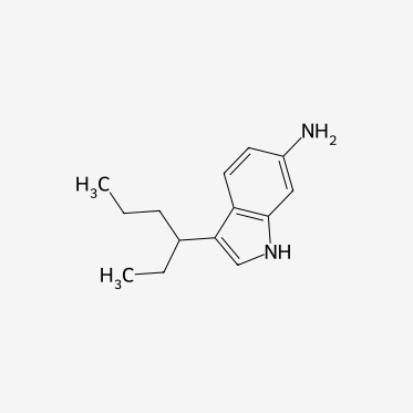 CCCC(CC)c1c[nH]c2cc(N)ccc12